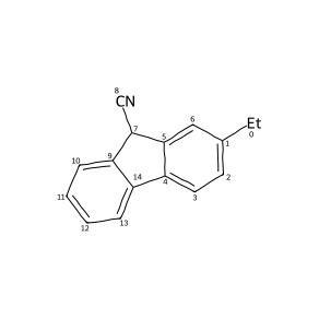 CCc1ccc2c(c1)C(C#N)c1ccccc1-2